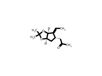 C/C=C1\[C@H](CC(C)=O)C[C@H]2OC(C)(C)O[C@@H]12